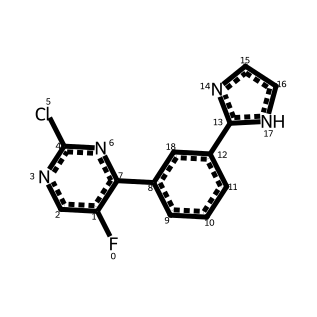 Fc1cnc(Cl)nc1-c1cccc(-c2ncc[nH]2)c1